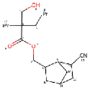 CC(C)CC(CO)(C(=O)OCC1CC2CC(C#N)C1C2)C(C)C